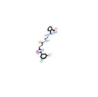 O=C(CCc1nc(-c2cc(Cl)cc(Cl)c2)no1)NCCNc1n[nH]c(=O)c2ccccc12